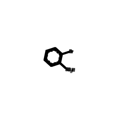 O=S(=O)(O)c1ccccc1Br